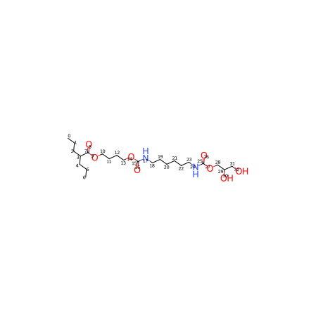 CCCC(CCC)C(=O)OCCCCOC(=O)NCCCCCCNC(=O)OCC(O)CO